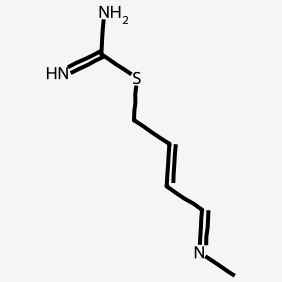 C/N=C/C=C/CSC(=N)N